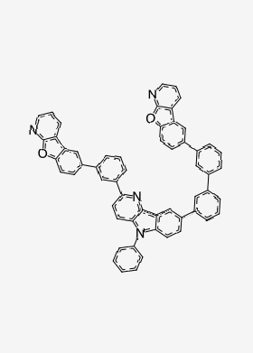 c1ccc(-n2c3ccc(-c4cccc(-c5cccc(-c6ccc7oc8ncccc8c7c6)c5)c4)cc3c3nc(-c4cccc(-c5ccc6oc7ncccc7c6c5)c4)ccc32)cc1